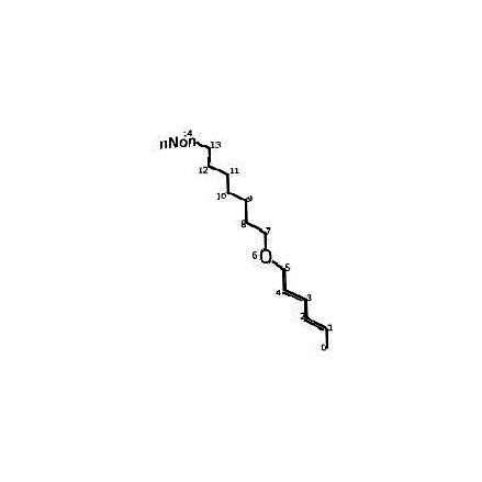 CC=CC=CCOCCCCCCCCCCCCCCCC